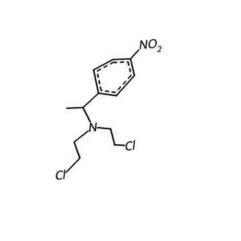 CC(c1ccc([N+](=O)[O-])cc1)N(CCCl)CCCl